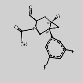 O=CC1C[C@@H]2C[C@]2(c2cc(F)cc(F)c2)CN1C(=O)O